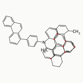 Cc1ccc2cccc(C3C=CC=CC3C)c2c1-c1ccccc1N(c1ccc(-c2cccc3c2ccc2ccccc23)cc1)c1ccccc1-c1cccc2cccc(C3CCCCC3)c12